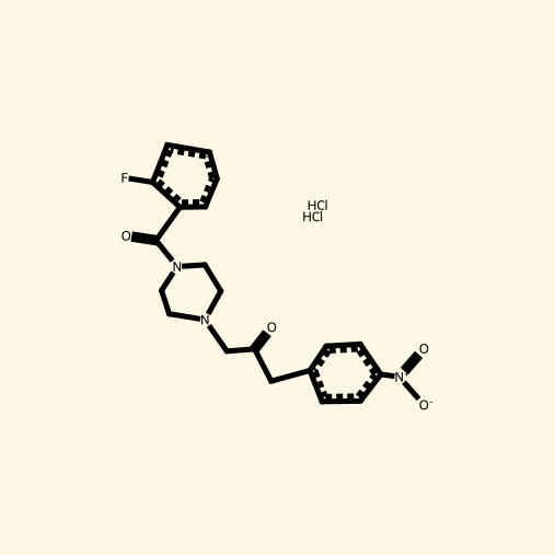 Cl.Cl.O=C(Cc1ccc([N+](=O)[O-])cc1)CN1CCN(C(=O)c2ccccc2F)CC1